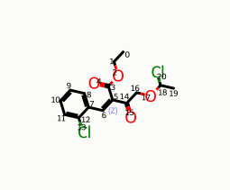 CCOC(=O)/C(=C\c1ccccc1Cl)C(=O)COC(C)Cl